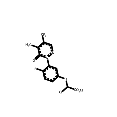 CCOC(=O)C(Cl)Oc1ccc(F)c(-n2ncc(C(F)(F)F)c(C)c2=O)c1